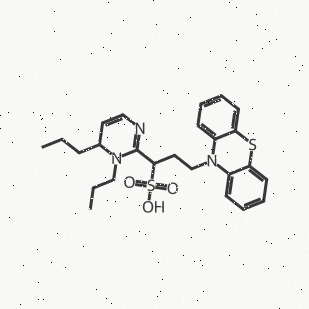 CCCC1C=CN=C(C(CCN2c3ccccc3Sc3ccccc32)S(=O)(=O)O)N1CCC